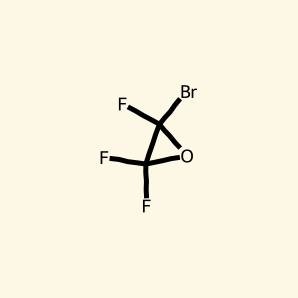 FC1(F)OC1(F)Br